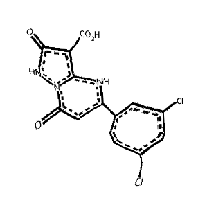 O=C(O)c1c(=O)[nH]n2c(=O)cc(-c3cc(Cl)cc(Cl)c3)[nH]c12